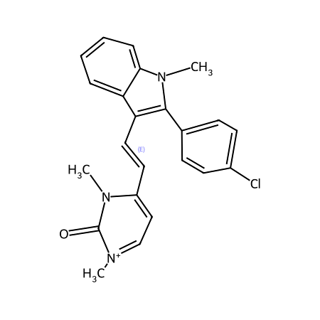 Cn1c(/C=C/c2c(-c3ccc(Cl)cc3)n(C)c3ccccc23)cc[n+](C)c1=O